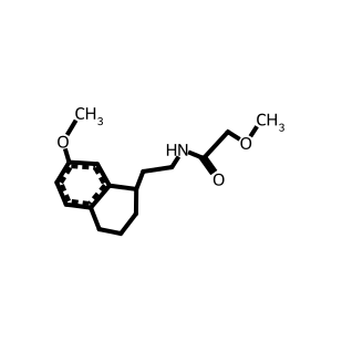 COCC(=O)NCCC1CCCc2ccc(OC)cc21